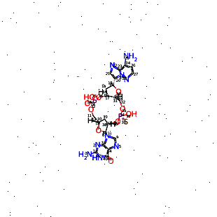 Nc1nc2c(ncn2[C@@H]2O[C@@H]3COP(=O)(O)O[C@H]4C[C@H](c5cnc6c(N)ccnn56)O[C@@H]4COP(O)(=S)O[C@@H]2C3)c(=O)[nH]1